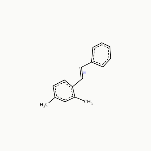 Cc1ccc(/C=C/c2ccccc2)c(C)c1